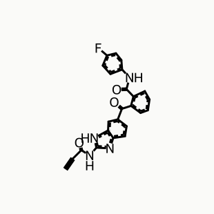 C#CC(=O)Nc1nc2ccc(C(=O)c3ccccc3C(=O)Nc3ccc(F)cc3)cc2[nH]1